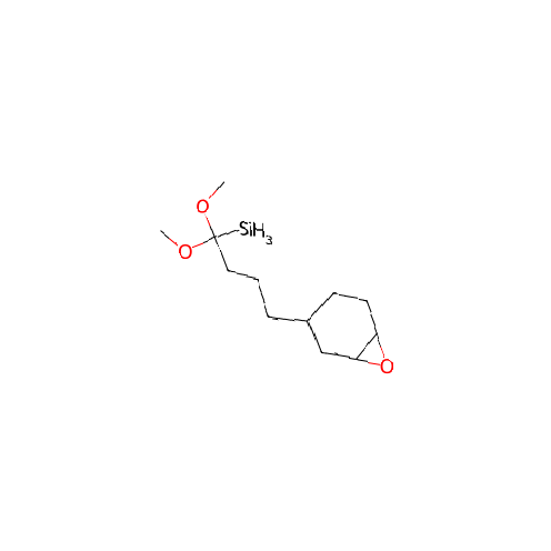 COC([SiH3])(CCCC1CCC2OC2C1)OC